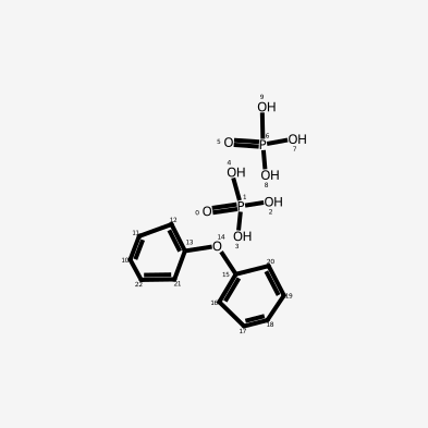 O=P(O)(O)O.O=P(O)(O)O.c1ccc(Oc2ccccc2)cc1